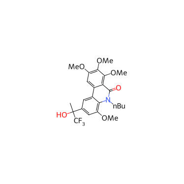 CCCCn1c(=O)c2c(OC)c(OC)c(OC)cc2c2cc(C(C)(O)C(F)(F)F)cc(OC)c21